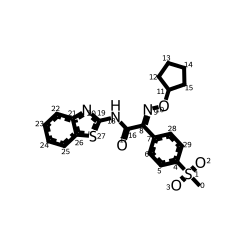 CS(=O)(=O)c1ccc(C(=NOC2CCCC2)C(=O)Nc2nc3ccccc3s2)cc1